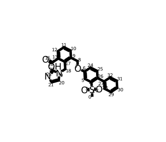 CS(=O)(=O)c1cc(OCc2cccc(C(=O)O)c2Cn2ccnc2)ccc1-c1ccccc1